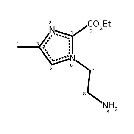 CCOC(=O)c1nc(C)cn1CCN